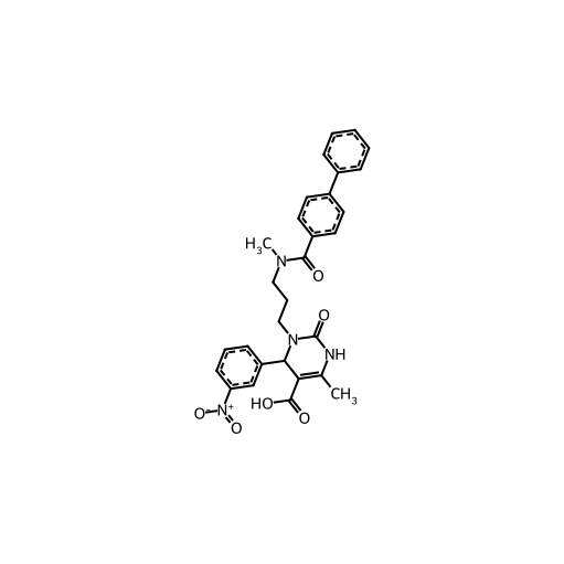 CC1=C(C(=O)O)C(c2cccc([N+](=O)[O-])c2)N(CCCN(C)C(=O)c2ccc(-c3ccccc3)cc2)C(=O)N1